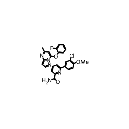 COc1ccc(-c2cccc(C(N)=O)n2)cc1Cl.Cc1cc(Oc2ccccc2F)n2nccc2n1